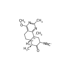 [C-]#[N+]C1C[C@]2(C)c3nc(C)nc(OC)c3CC[C@H]2[C@H](C)C1=O